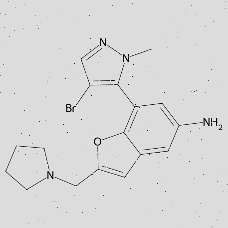 Cn1ncc(Br)c1-c1cc(N)cc2cc(CN3CCCC3)oc12